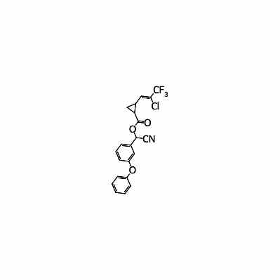 N#CC(OC(=O)C1CC1C=C(Cl)C(F)(F)F)c1cccc(Oc2ccccc2)c1